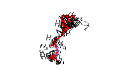 CCC[N+]1=C(/C=C/C=C/C=C/C=C2/N(CCCS(=O)(=O)O)c3ccc(S(=O)(=O)O)cc3C2(C)C)C(C)(C)c2cc(S(=O)(=O)N(C)CCCC(=O)NCCCSSC[C@H](NC(=O)CCCNC(=O)[C@@H]3CCCN3C(=O)[C@@H]3CCCN3C(=O)[C@H](CCCNC(=N)N)NC(=O)[C@@H]3CCCN3C(=O)CN)C(=O)O)ccc21